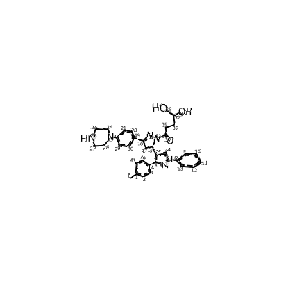 Cc1ccc(-c2nn(-c3ccccc3)cc2C2CC(c3ccc(N4CCNCC4)cc3)=NN2C(=O)CCC(O)O)cc1